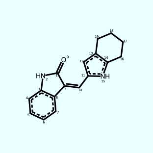 O=C1Nc2ccccc2C1=Cc1cc2c([nH]1)CCCC2